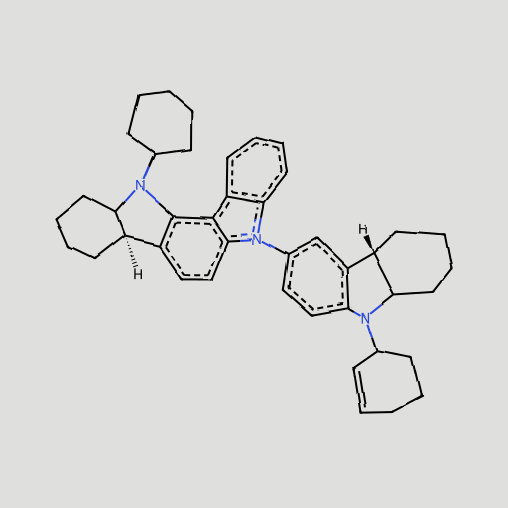 C1=CC(N2c3ccc(-n4c5ccccc5c5c6c(ccc54)[C@H]4CCCCC4N6C4CCCCC4)cc3[C@@H]3CCCCC32)CCC1